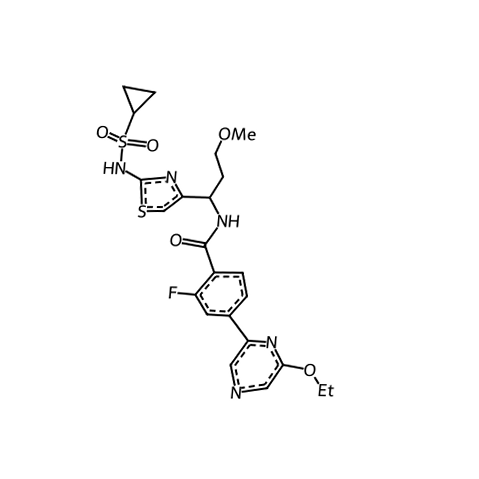 CCOc1cncc(-c2ccc(C(=O)NC(CCOC)c3csc(NS(=O)(=O)C4CC4)n3)c(F)c2)n1